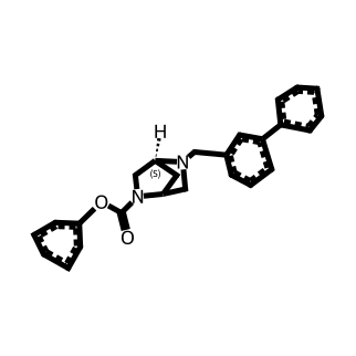 O=C(Oc1ccccc1)N1C[C@@H]2CC1CN2Cc1cccc(-c2ccccc2)c1